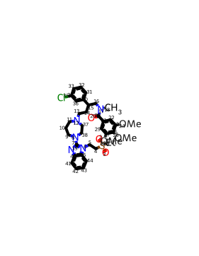 CCS(=O)(=O)CCn1c(N2CCCN(CCC(CN(C)C(=O)c3cc(OC)c(OC)c(OC)c3)c3cccc(Cl)c3)CC2)nc2ccccc21